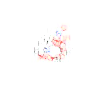 CCC1OC(=O)C(C)C(=O)C(C)C(OC2OC(C)CC(N(C)CC3CO3)C2O)C(C)(O)CC(C)CN(C)C(C)C(O)C1(C)O